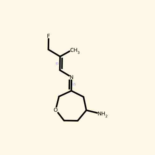 C/C(=C\N=C1/COCCC(N)C1)CF